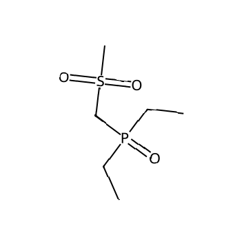 CCP(=O)(CC)CS(C)(=O)=O